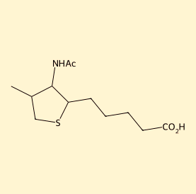 CC(=O)NC1C(C)CSC1CCCCC(=O)O